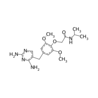 COc1cc(Cc2cnc(N)nc2N)cc(OC)c1OCC(=O)NC(C)C